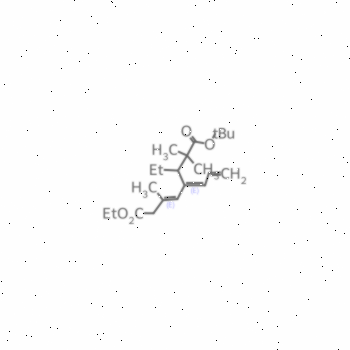 C=C/C=C(/C=C(\C)CC(=O)OCC)C(CC)C(C)(C)C(=O)OC(C)(C)C